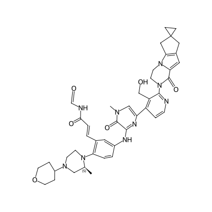 C[C@H]1CN(C2CCOCC2)CCN1c1ccc(Nc2nc(-c3ccnc(N4CCn5c(cc6c5CC5(CC5)C6)C4=O)c3CO)cn(C)c2=O)cc1C=CC(=O)NC=O